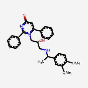 COc1ccc(C(C)NCC(O)Cn2c(-c3ccccc3)cc(=O)nc2-c2ccccc2)cc1OC